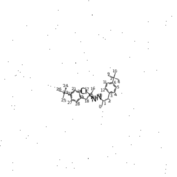 CC(Cc1ccc(C(C)(C)C)cc1)N=NC(C)(Cl)Cc1ccc(C(C)(C)C)cc1